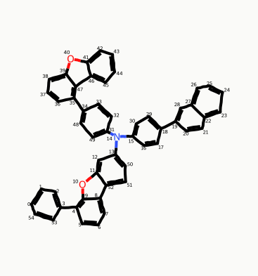 c1ccc(-c2cccc3c2oc2cc(N(c4ccc(-c5ccc6ccccc6c5)cc4)c4ccc(-c5cccc6oc7ccccc7c56)cc4)ccc23)cc1